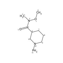 CON(C)C(=O)C1CCCN(P)C1